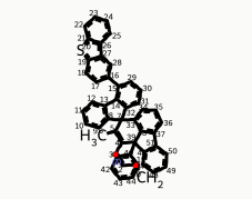 C=C/C=C\C1=C(C)C2(c3ccccc3-c3c(-c4ccc5sc6ccccc6c5c4)cccc32)c2cccc3c2C1(c1ccccc1)c1ccccc1-3